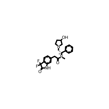 CN(C(=O)Cc1ccc2c(c1)NC(=O)C2(F)F)[C@H](CN1CCC(O)C1)c1ccccc1